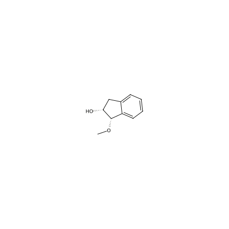 CO[C@H]1c2ccccc2C[C@H]1O